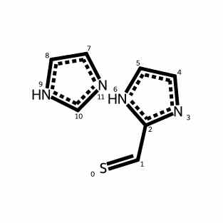 S=Cc1ncc[nH]1.c1c[nH]cn1